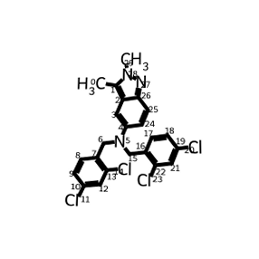 Cc1c2cc(N(Cc3ccc(Cl)cc3Cl)Cc3ccc(Cl)cc3Cl)ccc2nn1C